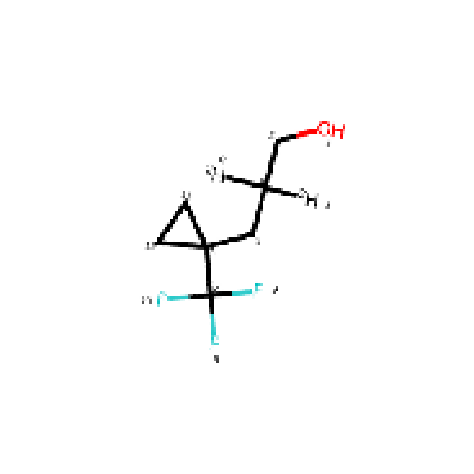 [2H]C([2H])(CO)CC1(C(F)(F)F)CC1